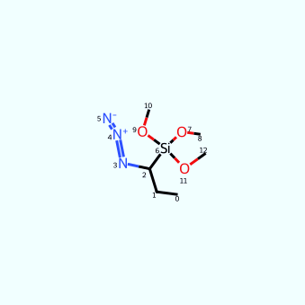 CCC(N=[N+]=[N-])[Si](OC)(OC)OC